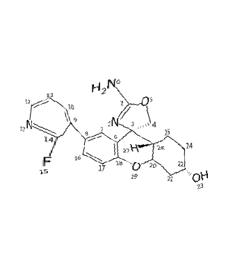 NC1=N[C@]2(CO1)c1cc(-c3cccnc3F)ccc1OC1C[C@@H](O)CC[C@H]12